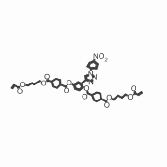 C=CC(=O)OCCCCOC(=O)C1CCC(C(=O)Oc2ccc(OC(=O)C3CCC(C(=O)OCCCCOC(=O)C=C)CC3)c(-c3cn(-c4ccc([N+](=O)[O-])cc4)nn3)c2)CC1